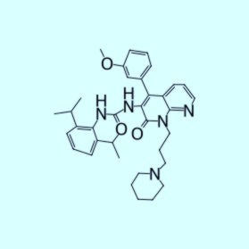 COc1cccc(-c2c(NC(=O)Nc3c(C(C)C)cccc3C(C)C)c(=O)n(CCCN3CCCCC3)c3ncccc23)c1